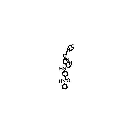 O=C(Nc1ccccc1)c1ccc(Nc2ccnc3nc(OCCN4CCOCC4)ccc23)cc1